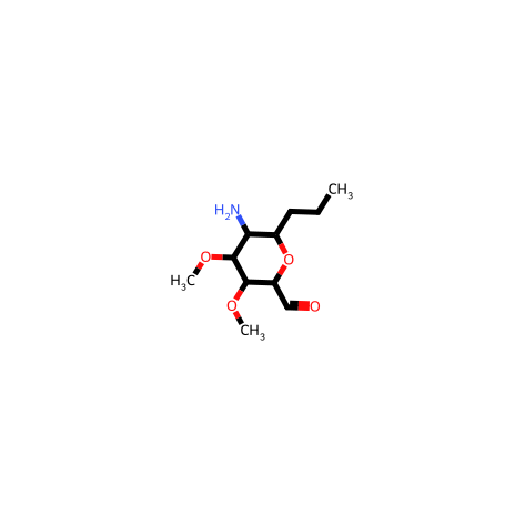 CCCC1OC(C=O)C(OC)C(OC)C1N